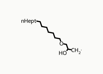 [CH2]C(O)COCCCCCCCCCCCCCC